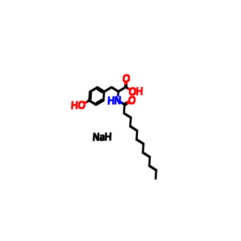 CCCCCCCCCCCC(=O)NC(Cc1ccc(O)cc1)C(=O)O.[NaH]